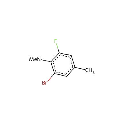 CNc1c(F)cc(C)cc1Br